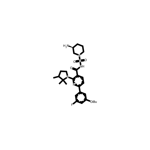 CC(C)COc1cc(F)cc(-c2ccc(C(=O)NS(=O)(=O)N3CCC[C@H](N)C3)c(N3CCC(C)C3(C)C)n2)c1